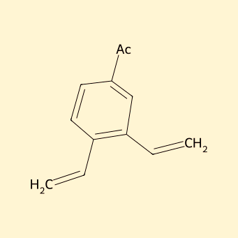 C=Cc1ccc(C(C)=O)cc1C=C